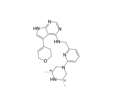 C[C@@H]1CN(c2cccc(CNc3ncnc4[nH]cc(C5=CCOCC5)c34)n2)C[C@H](C)N1